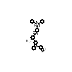 Cc1ccc(-c2nc3ccc(-c4nc(-c5ccccc5)nc(-c5ccccc5)n4)cc3o2)cc1-c1ccc2c(c1)c1ccccc1n2-c1ccc2ocnc2c1